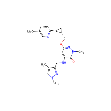 COc1ccc([C@H]2C[C@@H]2COc2cc(NCc3nn(C)cc3C)c(=O)n(C)n2)nc1